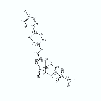 Cc1ccc(N2CCN(CC[C@H]3CC4(CCN(S(=O)(=O)C5CC5)CC4)C(=O)O3)CC2)cc1